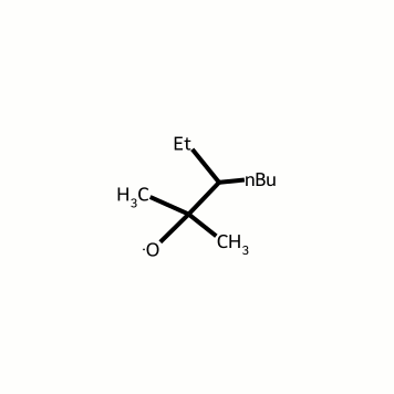 CCCCC(CC)C(C)(C)[O]